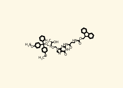 COc1ccc(C(OC[C@@H](OCn2cnc3c(=O)[nH]c(NC(=O)CCNC(=O)OCC4c5ccccc5-c5ccccc54)nc32)C(C)O)(c2ccccc2)c2ccc(OC)cc2)cc1